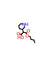 CCCCOC(=O)C(C(=O)O)C1CCCNC1